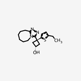 CCc1ccc([C@]2(c3nnc4n3CCCCCC4)C[C@@H](O)C2)s1